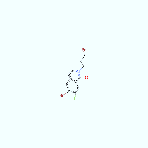 O=c1c2cc(F)c(Br)cc2ccn1CCCBr